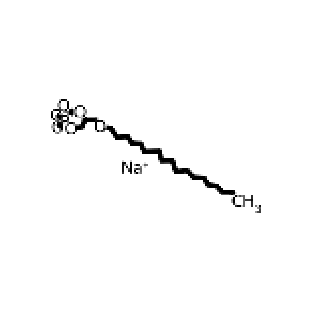 CCCCCCCCCCCCCCCCCCOCC1COP(=O)([O-])C(=O)O1.[Na+]